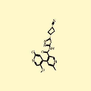 COc1cnc(Cl)cc1-c1cc(C)ncc1C(=O)Nc1nnc([C@H]2C[C@@H](C#N)C2)s1